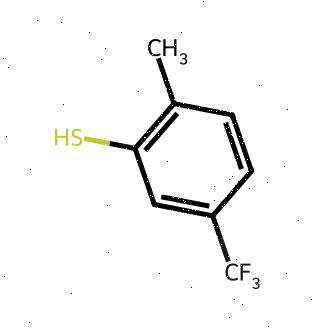 Cc1ccc(C(F)(F)F)cc1S